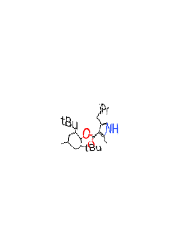 Cc1[nH]cc(CC(C)C)c1C(=O)OC1C(C(C)(C)C)CC(C)CC1C(C)(C)C